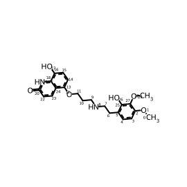 COc1ccc(CCNCCCOc2ccc(O)c3[nH]c(=O)ccc23)c(O)c1OC